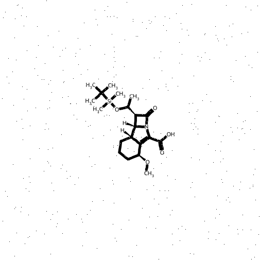 CO[C@H]1CCC[C@H]2C1=C(C(=O)O)N1C(=O)[C@H](C(C)O[Si](C)(C)C(C)(C)C)[C@@H]21